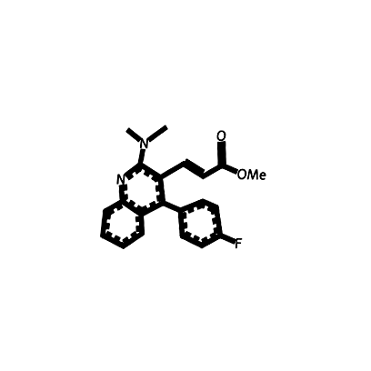 COC(=O)C=Cc1c(N(C)C)nc2ccccc2c1-c1ccc(F)cc1